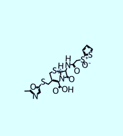 Cc1ncc(SCC2=C(C(=O)O)N3C(=O)C(NC(=O)C[S+]([O-])c4cccs4)[C@@H]3SC2)o1